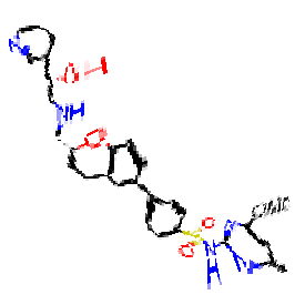 COc1cc(C)nc(NS(=O)(=O)c2ccc(-c3ccc4c(c3)CC[C@H](CNC[C@@H](O)c3cccnc3)O4)cc2)n1